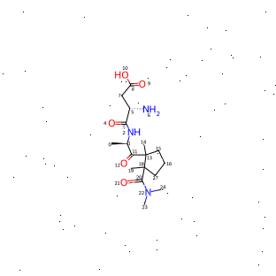 C[C@@H](NC(=O)[C@@H](N)CC(=O)O)C(=O)C1(C)CCCC1(C)C(=O)N(C)C